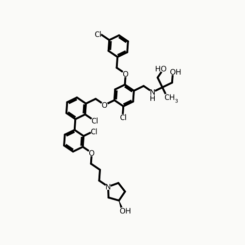 CC(CO)(CO)NCc1cc(Cl)c(OCc2cccc(-c3cccc(OCCCN4CC[C@@H](O)C4)c3Cl)c2Cl)cc1OCc1cccc(Cl)c1